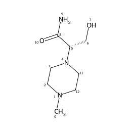 CN1CCN([C@@H](CO)C(N)=O)CC1